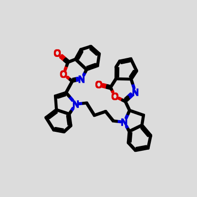 O=c1oc(-c2cc3ccccc3n2CCCCN2c3ccccc3CC2c2nc3ccccc3c(=O)o2)nc2ccccc12